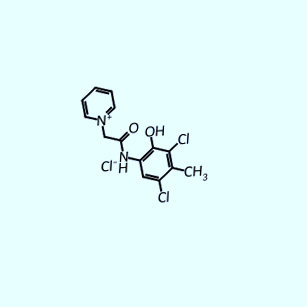 Cc1c(Cl)cc(NC(=O)C[n+]2ccccc2)c(O)c1Cl.[Cl-]